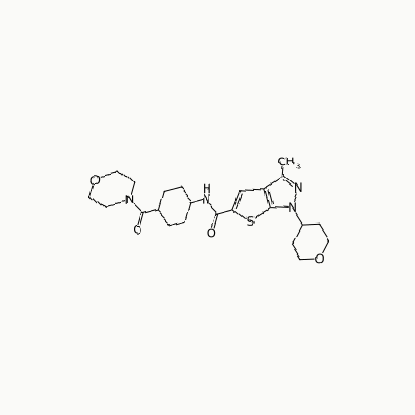 Cc1nn(C2CCOCC2)c2sc(C(=O)NC3CCC(C(=O)N4CCOCC4)CC3)cc12